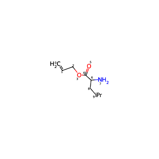 C=CCOC(=O)C(N)CC(C)C